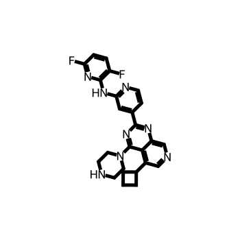 Fc1ccc(F)c(Nc2cc(-c3nc(N4CCNCC4)c4c(C5CCC5)cncc4n3)ccn2)n1